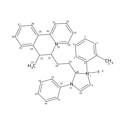 Cc1ccccc1[N+]1(I)C=CN(c2ccccc2)C1CCC1C(C)c2ccccc2-c2cccc[n+]21